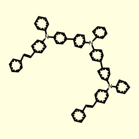 C(=Cc1ccc(N(c2ccccc2)c2ccc(-c3ccc(N(c4ccccc4)c4ccc(-c5ccc(N(c6ccccc6)c6ccc(C=Cc7ccccc7)cc6)cc5)cc4)cc3)cc2)cc1)c1ccccc1